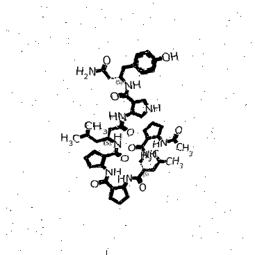 CC(=O)NC1CCCC1C(=O)NC[C@H](CC(C)C)C(=O)NC1CCCC1C(=O)NC1CCCC1C(=O)N[C@H](CC(=O)NC1CNCC1C(=O)N[C@H](CC(N)=O)Cc1ccc(O)cc1)CC(C)C